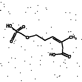 CC(=CCCOS(=O)(=O)O)C(=O)O